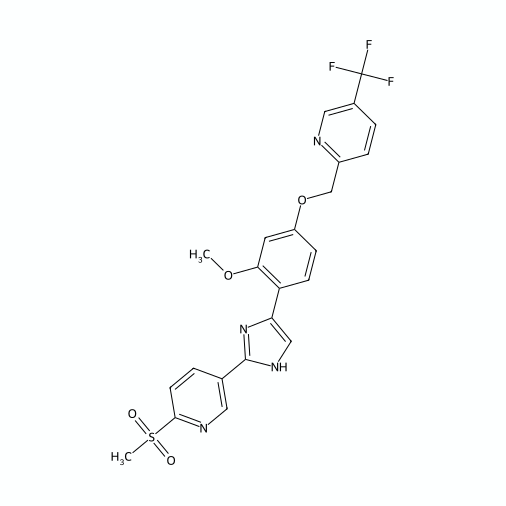 COc1cc(OCc2ccc(C(F)(F)F)cn2)ccc1-c1c[nH]c(-c2ccc(S(C)(=O)=O)nc2)n1